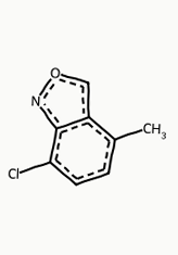 Cc1ccc(Cl)c2nocc12